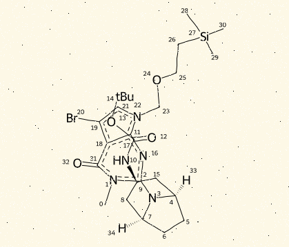 Cn1c(N2[C@@H]3CC[C@H]2C[C@@H](NC(=O)OC(C)(C)C)C3)nc2c(c(Br)cn2COCC[Si](C)(C)C)c1=O